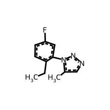 CCc1ccc(F)cc1-n1nncc1C